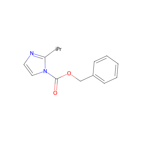 CC(C)c1nccn1C(=O)OCc1ccccc1